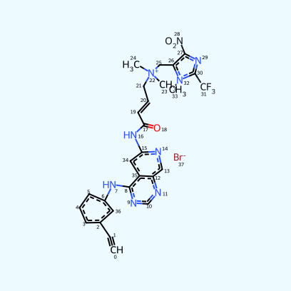 C#Cc1cccc(Nc2ncnc3cnc(NC(=O)/C=C/C[N+](C)(C)Cc4c([N+](=O)[O-])nc(C(F)(F)F)n4C)cc23)c1.[Br-]